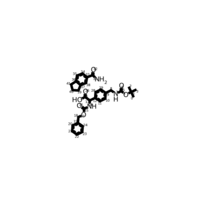 CC(C)(C)OC(=O)NCc1ccc(C(NC(=O)OCc2ccccc2)C(=O)O)cc1.NC(=O)c1ccc2c(c1)CCC2